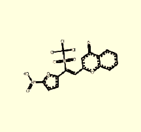 O=c1cc(/C=C(/c2ccc([N+](=O)O)o2)S(=O)(=O)C(Cl)(Cl)Cl)oc2ccccc12